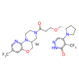 O=C(CCOC[C@@H]1CCCN1c1cn[nH]c(=O)c1C(F)(F)F)N1CCN2c3ncc(C(F)(F)F)cc3OC[C@@H]2C1